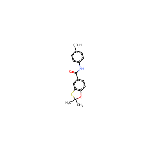 CC1(C)Oc2ccc(C(=O)Nc3ccc(C(=O)O)cc3)cc2S1